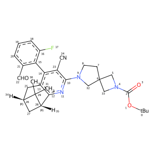 CC(C)(C)OC(=O)N1CC2(CCN(c3nc4c(c(-c5c(F)cccc5C=O)c3C#N)C[C@H]3C[C@@H]4C3(C)C)C2)C1